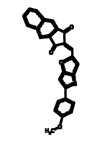 COc1ccc(-c2cc3oc(C=C4C(=O)c5cc6ccccc6cc5C4=O)cc3s2)cc1